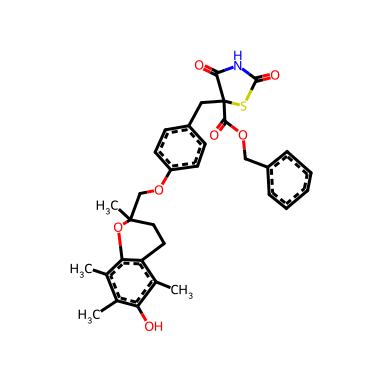 Cc1c(C)c2c(c(C)c1O)CCC(C)(COc1ccc(CC3(C(=O)OCc4ccccc4)SC(=O)NC3=O)cc1)O2